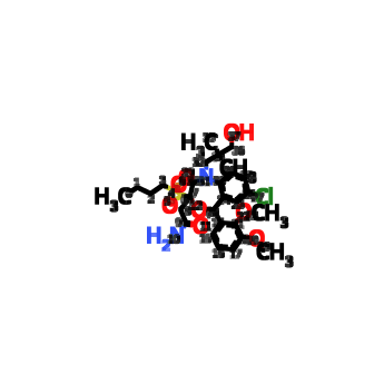 CCCCS(=O)(=O)[C@@]1(CC(N)=O)O[C@H](c2cccc(OC)c2OC)c2cc(Cl)ccc2N(CC(C)(C)CO)C1=O